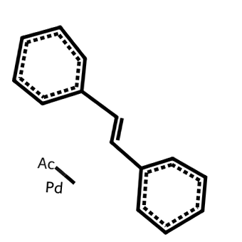 C(=Cc1ccccc1)c1ccccc1.CC(C)=O.[Pd]